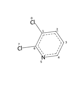 Clc1[c]ccnc1Cl